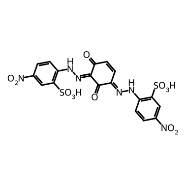 O=c1cc/c(=N\Nc2ccc([N+](=O)[O-])cc2S(=O)(=O)O)c(=O)c1=NNc1ccc([N+](=O)[O-])cc1S(=O)(=O)O